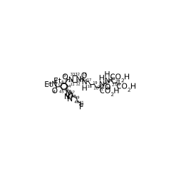 CCN(CC)C(=O)c1cc(C(=O)N2CCN(C(=O)NCCCCC(NC(=O)NC(CCC(=O)O)C(=O)O)C(=O)O)CC2)cc(-n2cc(CCCF)nn2)c1